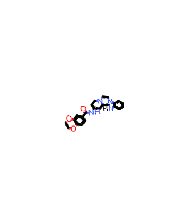 O=C(N[C@@H]1CCN2CCn3c(nc4ccccc43)[C@H]2C1)c1ccc2c(c1)OCCO2